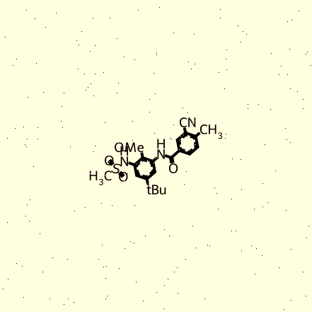 COc1c(NC(=O)c2ccc(C)c(C#N)c2)cc(C(C)(C)C)cc1NS(C)(=O)=O